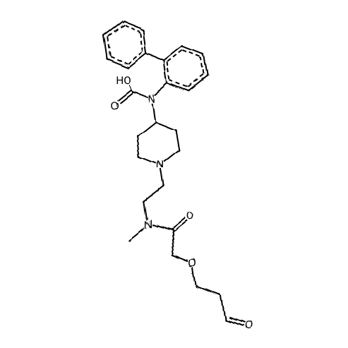 CN(CCN1CCC(N(C(=O)O)c2ccccc2-c2ccccc2)CC1)C(=O)COCCC=O